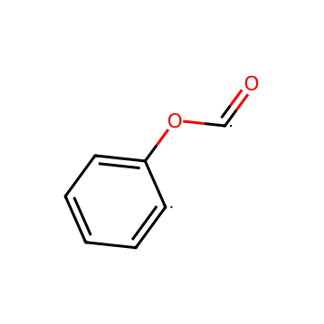 O=[C]Oc1[c]cccc1